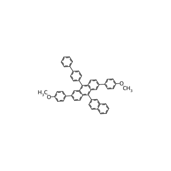 COc1ccc(-c2ccc3c(-c4ccc5ccccc5c4)c4cc(-c5ccc(OC)cc5)ccc4c(-c4ccc(-c5ccccc5)cc4)c3c2)cc1